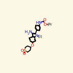 CCn1c(-c2ccc(NC(=O)OC(C)C)cc2)c(N)c2ccc(OC3CCS(=O)(=O)CC3)cc21